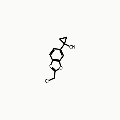 N#CC1(c2ccc3nc(CCl)oc3c2)CC1